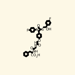 O=C(COc1ccc(C2C(SCC(O)c3ccc(F)cc3)C(=O)N2c2ccc(F)cc2)cc1)NCC(=O)N[C@H](Cc1ccccc1)C(=O)O